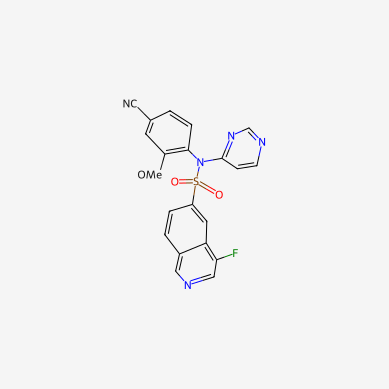 COc1cc(C#N)ccc1N(c1ccncn1)S(=O)(=O)c1ccc2cncc(F)c2c1